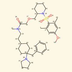 COc1cc(C)c(S(=O)(=O)N2CCCCC2COCC(=O)N(C)CCC2CCC(Cc3ccccc3)(N3CCCC3)CC2)c(C)c1